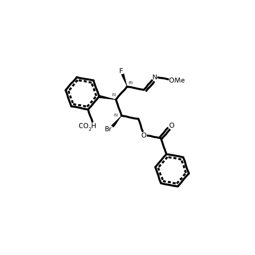 CON=C[C@H](F)[C@H](c1ccccc1C(=O)O)[C@H](Br)COC(=O)c1ccccc1